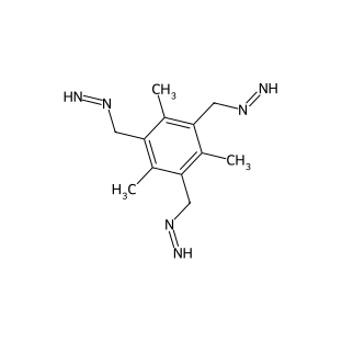 Cc1c(CN=N)c(C)c(CN=N)c(C)c1CN=N